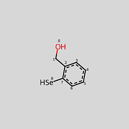 OCc1ccccc1[SeH]